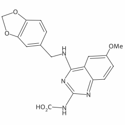 COc1ccc2nc(NC(=O)O)nc(NCc3ccc4c(c3)OCO4)c2c1